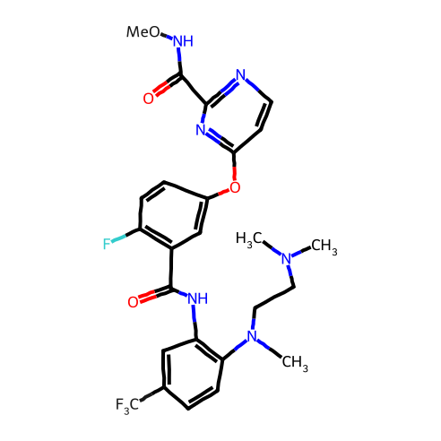 CONC(=O)c1nccc(Oc2ccc(F)c(C(=O)Nc3cc(C(F)(F)F)ccc3N(C)CCN(C)C)c2)n1